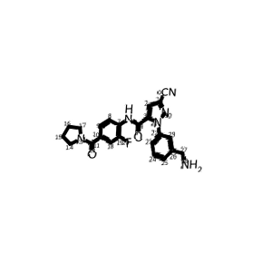 N#Cc1cc(C(=O)Nc2ccc(C(=O)N3CCCC3)cc2F)n(-c2cccc(CN)c2)n1